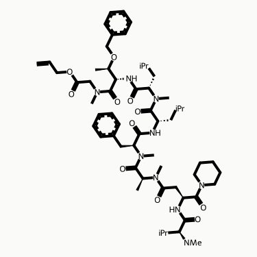 C=CCOC(=O)CN(C)C(=O)[C@@H](NC(=O)[C@H](CC(C)C)N(C)C(=O)[C@H](CC(C)C)NC(=O)[C@H](Cc1ccccc1)N(C)C(=O)[C@H](C)N(C)C(=O)C[C@H](NC(=O)[C@@H](NC)C(C)C)C(=O)N1CCCCC1)[C@@H](C)OCc1ccccc1